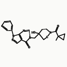 CC1(C(=O)N2CCC(O)(Cn3cnc4c(cnn4-c4ccccc4)c3=O)CC2)CC1